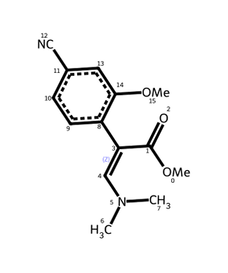 COC(=O)/C(=C\N(C)C)c1ccc(C#N)cc1OC